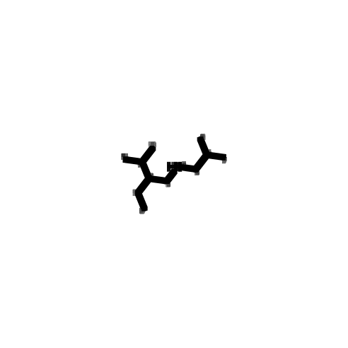 CCC(CNCC(C)C)C(C)C